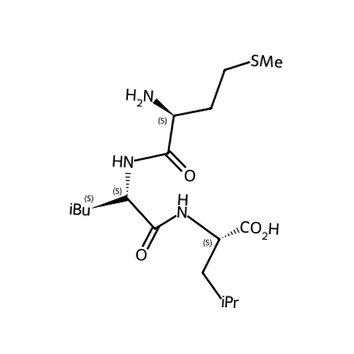 CC[C@H](C)[C@H](NC(=O)[C@@H](N)CCSC)C(=O)N[C@@H](CC(C)C)C(=O)O